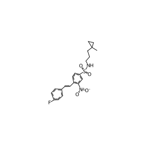 CC1(CCCNS(=O)(=O)c2ccc(/C=C/c3ccc(F)cc3)c([N+](=O)[O-])c2)CC1